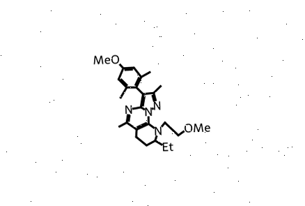 CCC1CCc2c(C)nc3c(-c4c(C)cc(OC)cc4C)c(C)nn3c2N1CCOC